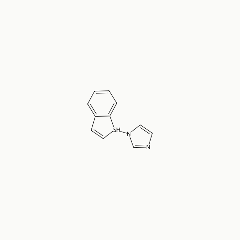 C1=C[SH](n2ccnc2)c2ccccc21